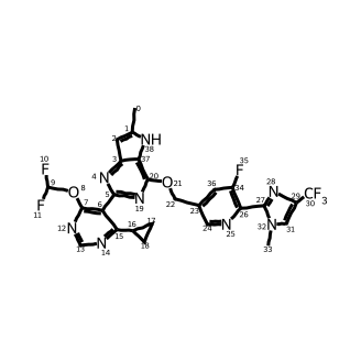 Cc1cc2nc(-c3c(OC(F)F)ncnc3C3CC3)nc(OCc3cnc(-c4nc(C(F)(F)F)cn4C)c(F)c3)c2[nH]1